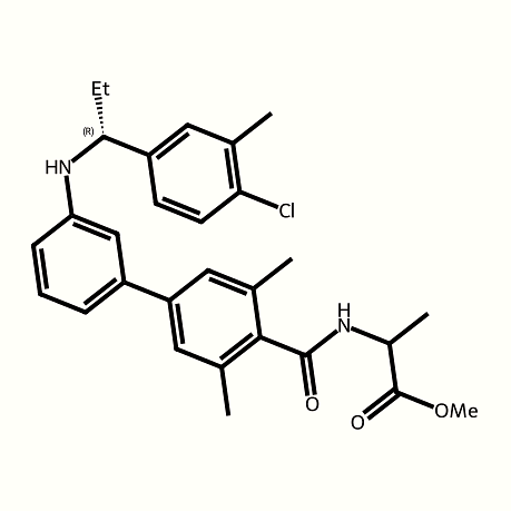 CC[C@@H](Nc1cccc(-c2cc(C)c(C(=O)NC(C)C(=O)OC)c(C)c2)c1)c1ccc(Cl)c(C)c1